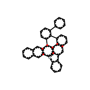 c1ccc(-c2ccccc2-c2c(-c3ccccc3)cccc2N(c2ccc3ccccc3c2)c2cccc3c2oc2ccccc23)cc1